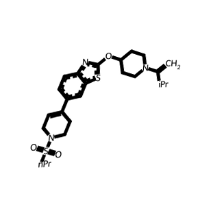 C=C(C(C)C)N1CCC(Oc2nc3ccc(C4=CCN(S(=O)(=O)CCC)CC4)cc3s2)CC1